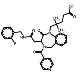 CC(C)(CCC(=O)O)CN1C(=O)C(CC(=O)NCc2ccccc2F)N(C(=O)c2ccncc2)Cc2ccccc21